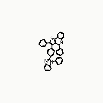 c1ccc(-c2sc3c(c(-c4ccccc4)nc4ccccc43)c2-c2ccc(-c3nc4ccccc4n3-c3ccccc3)cc2)cc1